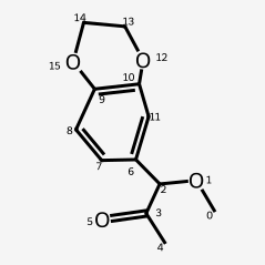 COC(C(C)=O)c1ccc2c(c1)OCCO2